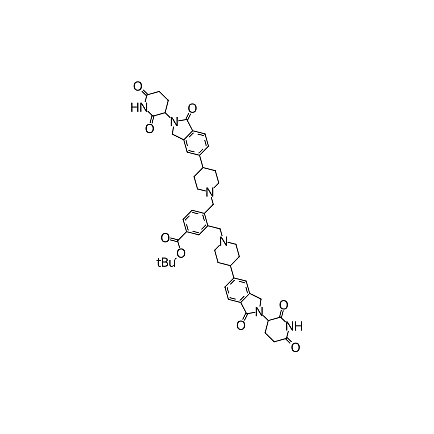 CC(C)(C)OC(=O)c1ccc(CN2CCC(c3ccc4c(c3)CN(C3CCC(=O)NC3=O)C4=O)CC2)c(CN2CCC(c3ccc4c(c3)CN(C3CCC(=O)NC3=O)C4=O)CC2)c1